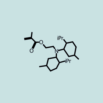 C=C(C)C(=O)OCCN(C1CC(C)CCC1C(C)C)C1CC(C)CCC1C(C)C